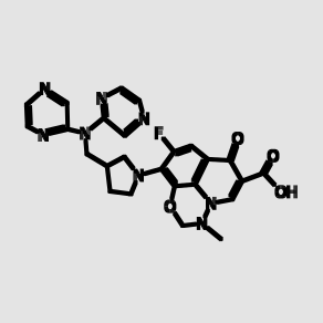 CN1COc2c(N3CCC(CN(c4cnccn4)c4cnccn4)C3)c(F)cc3c(=O)c(C(=O)O)cn1c23